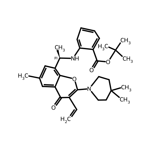 C=Cc1c(N2CCC(C)(C)CC2)oc2c([C@@H](C)Nc3ccccc3C(=O)OC(C)(C)C)cc(C)cc2c1=O